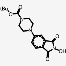 CC(C)(C)OC(=O)N1CCN(c2ccc3c(c2)C(=O)N(O)C3=O)CC1